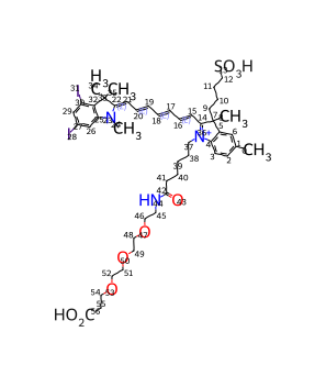 Cc1ccc2c(c1)C(C)(CCCCS(=O)(=O)O)C(/C=C/C=C/C=C/C=C1\N(C)c3cc(I)cc(I)c3C1(C)C)=[N+]2CCCCCC(=O)NCCOCCOCCOCCC(=O)O